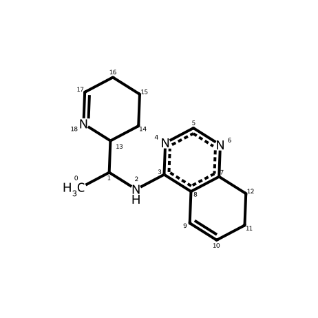 CC(Nc1ncnc2c1C=CCC2)C1CCCC=N1